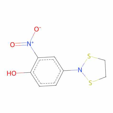 O=[N+]([O-])c1cc(N2SCCS2)ccc1O